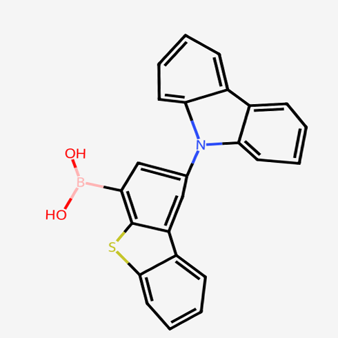 OB(O)c1cc(-n2c3ccccc3c3ccccc32)cc2c1sc1ccccc12